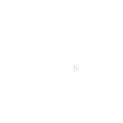 CCCCc1ccc(NC(=O)Nc2ccc(-c3ccc(C(=O)CC4(C(=O)O)CCCC4)cc3)cc2)cc1